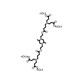 CCCCCCCCOC(=O)CCN(CCCC(=O)OCCN1CC(C)N(CCOC(=O)CCCN(CCC(=O)OCCCCCCCC)CCC(=O)OCCCCCCCC)CC1C)CCC(=O)OCCCCCCCC